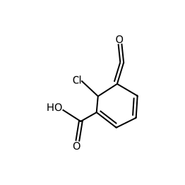 O=C=C1C=CC=C(C(=O)O)C1Cl